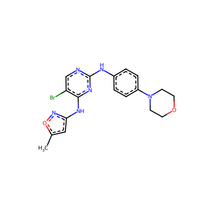 Cc1cc(Nc2nc(Nc3ccc(N4CCOCC4)cc3)ncc2Br)no1